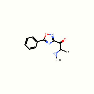 CCC(NC=O)C(=O)c1noc(-c2ccccc2)n1